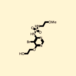 COCCNS(=O)(=O)Nc1ncnc(OCCO)c1Br